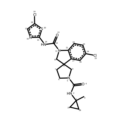 CC1(NC(=O)N2CCC3(C2)CN(C(=O)Nc2ncc(Cl)s2)c2ccc(Cl)cc23)CC1